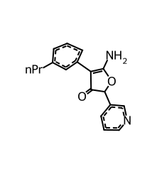 CCCc1cccc(C2=C(N)OC(c3cccnc3)C2=O)c1